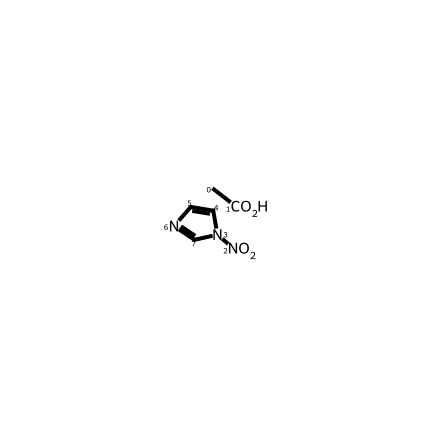 CC(=O)O.O=[N+]([O-])n1ccnc1